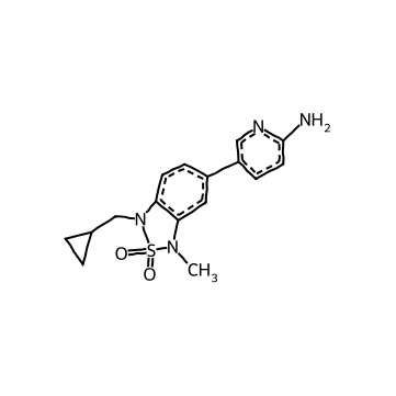 CN1c2cc(-c3ccc(N)nc3)ccc2N(CC2CC2)S1(=O)=O